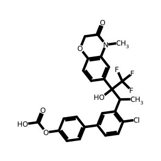 CC(c1cc(-c2ccc(OC(=O)O)cc2)ccc1Cl)C(O)(c1ccc2c(c1)N(C)C(=O)CO2)C(F)(F)F